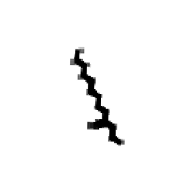 [CH2]CCC(=N)CCCCCCCCC